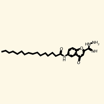 CCCCCCCCCCCCCCCC(=O)Nc1ccc2oc(C(=N)NN)cc(=O)c2c1